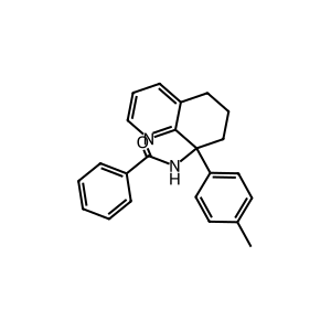 Cc1ccc(C2(NC(=O)c3ccccc3)CCCc3cccnc32)cc1